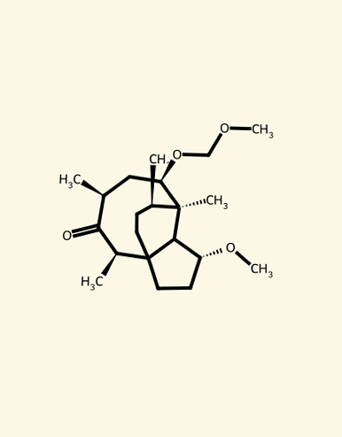 COCO[C@@H]1C[C@H](C)C(=O)[C@H](C)C23CC[C@@H](C)[C@]1(C)C2[C@H](OC)CC3